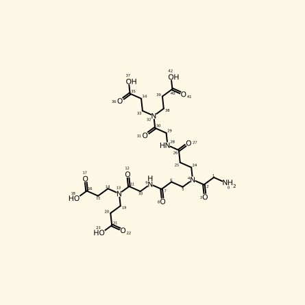 NCC(=O)N(CCC(=O)NCC(=O)N(CCC(=O)O)CCC(=O)O)CCC(=O)NCC(=O)N(CCC(=O)O)CCC(=O)O